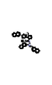 N/C(=N\C(=N/Cc1ccc2ccccc2c1)c1ccc2ccccc2c1)c1cccc2oc3cc(-c4ccc5ccccc5c4)ccc3c12